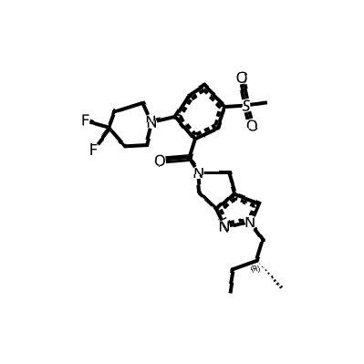 CC[C@@H](C)Cn1cc2c(n1)CN(C(=O)c1cc(S(C)(=O)=O)ccc1N1CCC(F)(F)CC1)C2